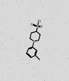 CCS(=O)(=O)C1CCN(c2cccc(I)c2)CC1